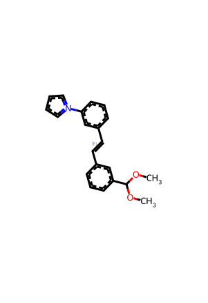 COC(OC)c1cccc(/C=C/c2cccc(-n3cccc3)c2)c1